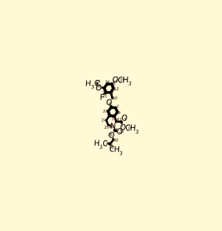 COC(=O)C1c2ccc(OCc3cc(OC)cc(OC)c3F)cc2CCN1C(=O)OCC(C)C